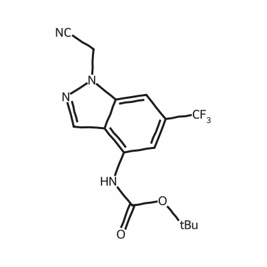 CC(C)(C)OC(=O)Nc1cc(C(F)(F)F)cc2c1cnn2CC#N